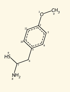 COc1ccc(CC(N)S)cc1